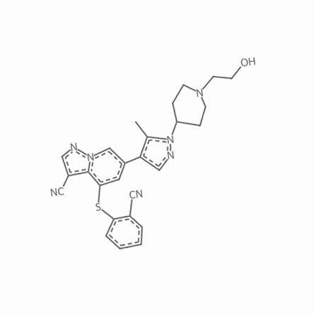 Cc1c(-c2cc(Sc3ccccc3C#N)c3c(C#N)cnn3c2)cnn1C1CCN(CCO)CC1